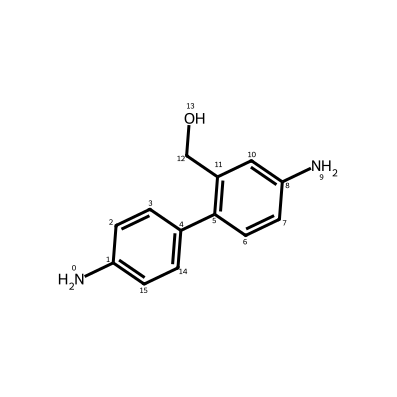 Nc1ccc(-c2ccc(N)cc2CO)cc1